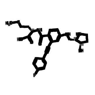 CSCC[C@H](NC(=O)c1ccc(NC[C@@H]2NCC[C@@H]2S)cc1C#Cc1ccc(F)cc1)C(=O)O